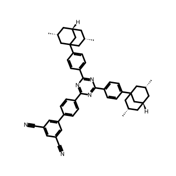 C[C@@H]1C[C@@H]2C[C@H](C)CC(c3ccc(-c4nc(-c5ccc(-c6cc(C#N)cc(C#N)c6)cc5)nc(-c5ccc(C67C[C@H](C)C[C@H](C[C@H](C)C6)C7)cc5)n4)cc3)(C1)C2